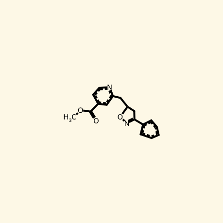 COC(=O)c1ccnc(CC2CC(c3ccccc3)=NO2)c1